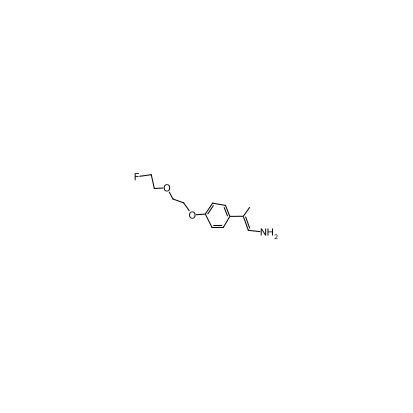 C/C(=C\N)c1ccc(OCCOCCF)cc1